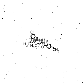 C=Cc1ccc(C(=O)NC(/C=C/C)=N/NCc2cc(Cl)ccc2OCC(C)C)c(F)c1